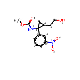 COC(=O)N[C@@]1(c2cccc([N+](=O)[O-])c2)C[C@H]1CCO